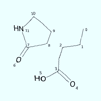 CCCC(=O)O.O=C1CCCN1